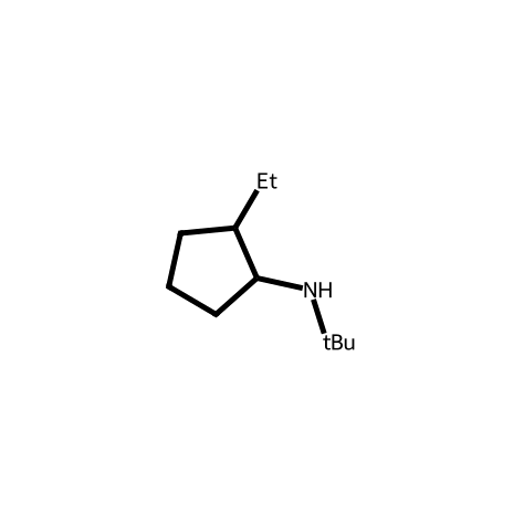 CCC1CCCC1NC(C)(C)C